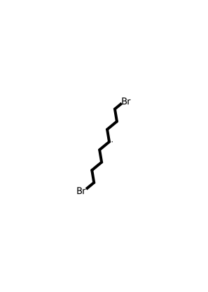 BrCCC[CH]CCCCBr